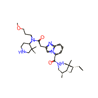 CC[C@@H]1C[C@H]([C@@H](C)CNC(=O)c2cccc3nc(CC(=O)N(CCCOC)C4CCNCC4(C)C)cn23)C1(C)C